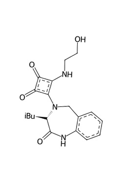 CC[C@H](C)[C@H]1C(=O)Nc2ccccc2CN1c1c(NCCO)c(=O)c1=O